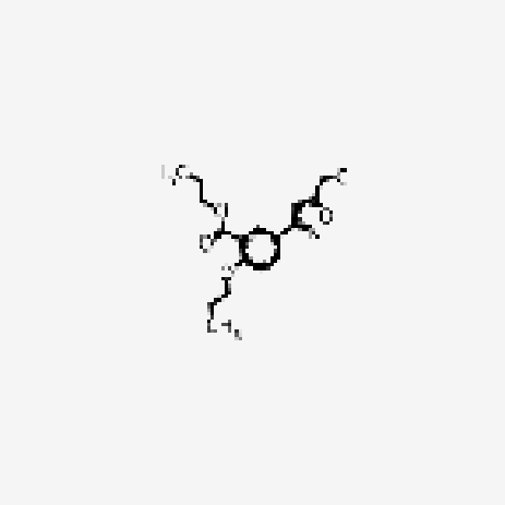 CCCOC(=O)c1cc(-c2cc(CCl)on2)ccc1OCCC